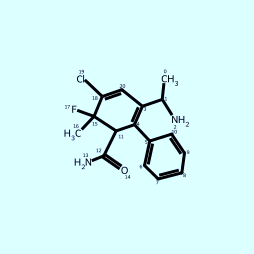 CC(N)C1=C(c2ccccc2)C(C(N)=O)C(C)(F)C(Cl)=C1